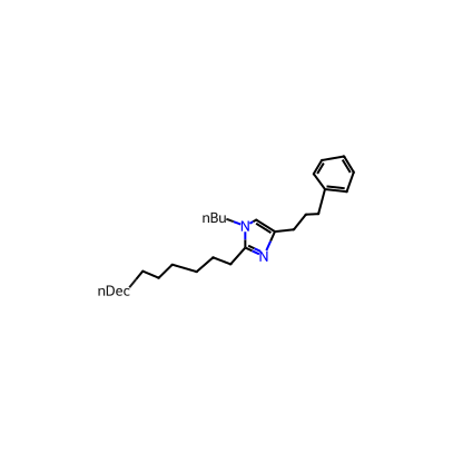 CCCCCCCCCCCCCCCCc1nc(CCCc2ccccc2)cn1CCCC